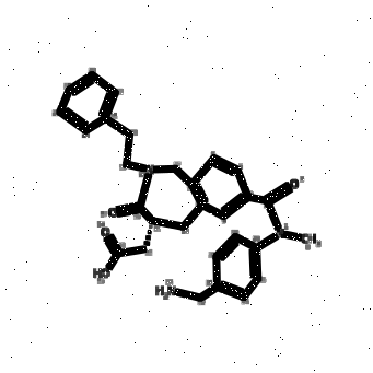 CN(C(=O)c1ccc2c(c1)C[C@H](CC(=O)O)C(=O)N(CCc1ccccc1)C2)c1ccc(CN)cc1